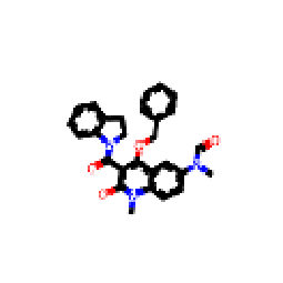 CN(C=O)c1ccc2c(c1)c(OCc1ccccc1)c(C(=O)N1CCc3ccccc31)c(=O)n2C